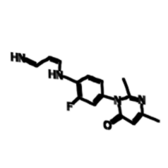 Cc1cc(=O)n(-c2ccc(N/C=C\C=N)c(F)c2)c(C)n1